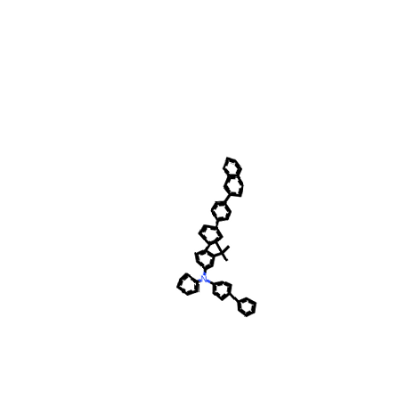 CC1(C)c2cc(-c3ccc(-c4ccc5ccccc5c4)cc3)ccc2-c2ccc(N(c3ccccc3)c3ccc(-c4ccccc4)cc3)cc21